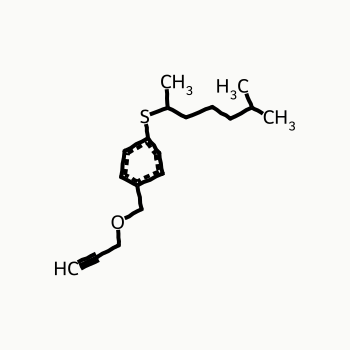 C#CCOCc1ccc(SC(C)CCCC(C)C)cc1